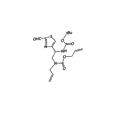 C=CCOC(=O)N(CC=C)CC(NC(=O)OC(C)(C)C)c1csc(C=O)n1